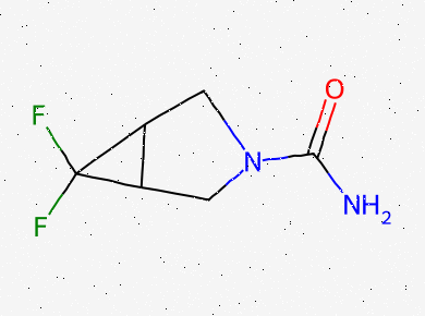 NC(=O)N1CC2C(C1)C2(F)F